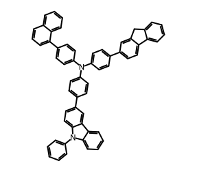 c1ccc(-n2c3ccccc3c3cc(-c4ccc(N(c5ccc(-c6ccc7c(c6)Cc6ccccc6-7)cc5)c5ccc(-c6cccc7ccccc67)cc5)cc4)ccc32)cc1